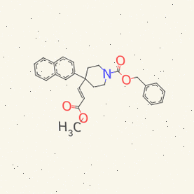 COC(=O)C=CC1(c2ccc3ccccc3c2)CCN(C(=O)OCc2ccccc2)CC1